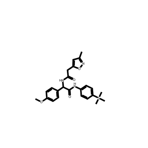 COc1ccc(C(NC(=O)Cc2cc(C)no2)C(=O)Nc2ccc(S(C)(C)C)cc2)cc1